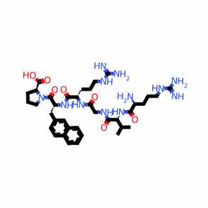 CC(C)[C@@H](NC(=O)[C@@H](N)CCCNC(=N)N)C(=O)NCC(=O)N[C@@H](CCCNC(=N)N)C(=O)N[C@H](Cc1ccc2ccccc2c1)C(=O)N1CCC[C@H]1C(=O)O